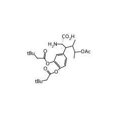 CC(=O)OC(C)C(C)C(c1ccc(OC(=O)CC(C)(C)C)c(OC(=O)CC(C)(C)C)c1)[C@H](N)C(=O)O